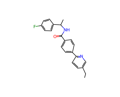 CCc1ccc(-c2ccc(C(=O)NC(C)c3ccc(F)cc3)cc2)nc1